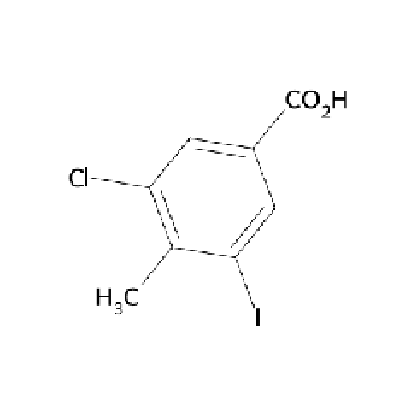 Cc1c(Cl)cc(C(=O)O)cc1I